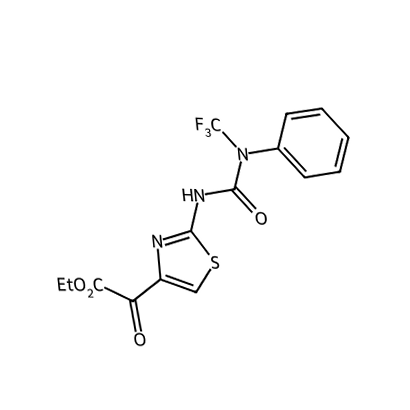 CCOC(=O)C(=O)c1csc(NC(=O)N(c2ccccc2)C(F)(F)F)n1